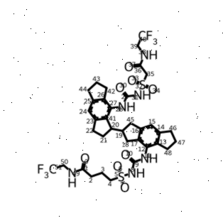 O=C(CCCS(=O)(=O)NC(=O)Nc1c2c(cc3c1CC(C1CCc4cc5c(c(NC(=O)NS(=O)(=O)CC(=O)NCC(F)(F)F)c41)CCC5)C3)CCC2)NCC(F)(F)F